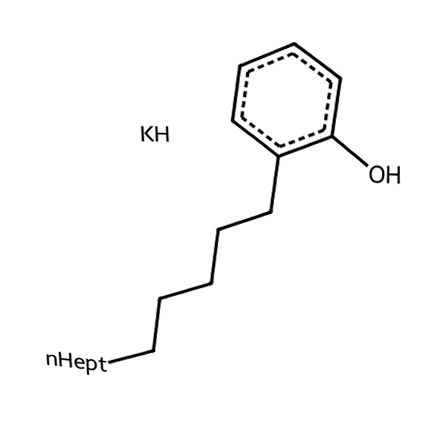 CCCCCCCCCCCCc1ccccc1O.[KH]